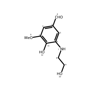 COc1cc(C=O)cc(NCCO)c1O